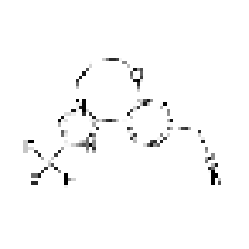 N#CCc1ccc2c(c1)OCCCn1cc(C(F)(F)F)nc1-2